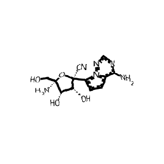 N#C[C@@]1(c2ccc3c(N)ncnn23)O[C@](N)(CO)[C@@H](O)[C@H]1O